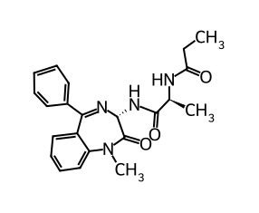 CCC(=O)N[C@@H](C)C(=O)N[C@H]1N=C(c2ccccc2)c2ccccc2N(C)C1=O